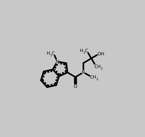 CN(CC(C)(C)O)C(=O)c1cn(C)c2ccccc12